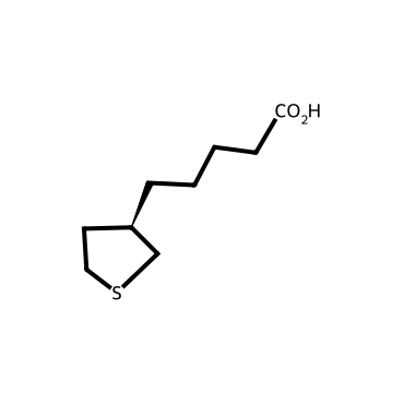 O=C(O)CCCC[C@@H]1CCSC1